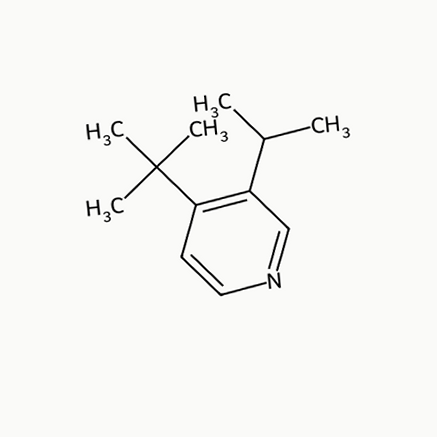 CC(C)c1cnccc1C(C)(C)C